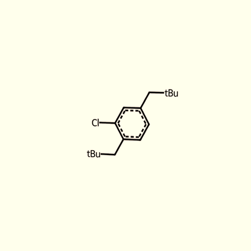 CC(C)(C)Cc1ccc(CC(C)(C)C)c(Cl)c1